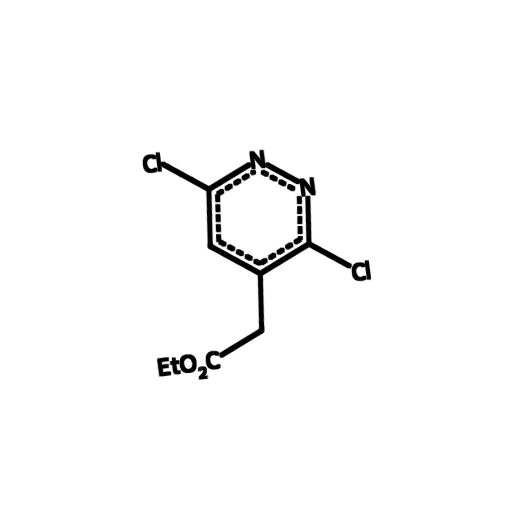 CCOC(=O)Cc1cc(Cl)nnc1Cl